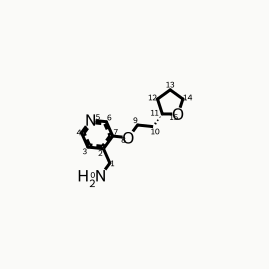 NCc1ccncc1OCC[C@@H]1CCCO1